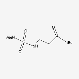 CNS(=O)(=O)NCCC(=O)C(C)(C)C